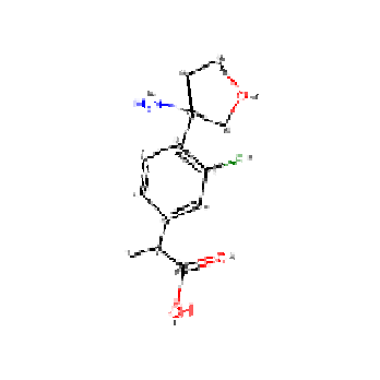 CC(C(=O)O)c1ccc(C2(N)CCOC2)c(F)c1